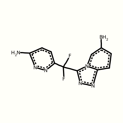 Bc1ccc2nnc(C(F)(F)c3ccc(N)nn3)n2c1